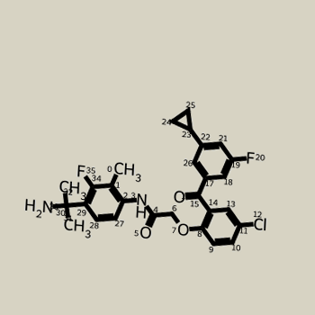 Cc1c(NC(=O)COc2ccc(Cl)cc2C(=O)c2cc(F)cc(C3CC3)c2)ccc(C(C)(C)N)c1F